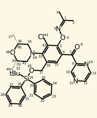 CC(C)=NOc1c(C(=O)c2cnccn2)cc(CO[Si](c2ccccc2)(c2ccccc2)C(C)(C)C)c(N2C[C@@H](C)O[C@@H](C)C2)c1Cl